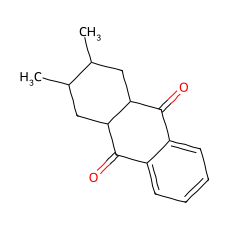 CC1CC2C(=O)c3ccccc3C(=O)C2CC1C